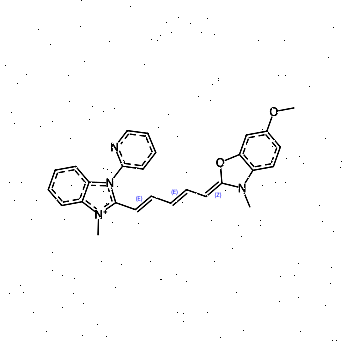 COc1ccc2c(c1)O\C(=C/C=C/C=C/c1n(-c3ccccn3)c3ccccc3[n+]1C)N2C